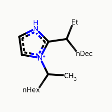 CCCCCCCCCCC(CC)c1[nH]cc[n+]1C(C)CCCCCC